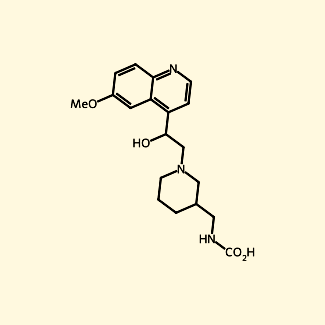 COc1ccc2nccc(C(O)CN3CCCC(CNC(=O)O)C3)c2c1